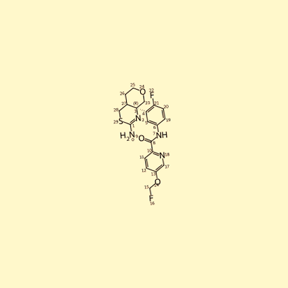 NC1=N[C@]2(c3cc(NC(=O)c4ccc(OCF)cn4)ccc3F)COCCC2CS1